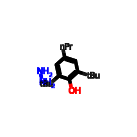 CCCc1cc(C(C)(C)C)c(O)c(C(C)(C)C)c1.NN